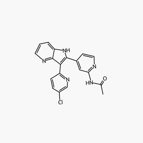 CC(=O)Nc1cc(-c2[nH]c3cccnc3c2-c2ccc(Cl)cn2)ccn1